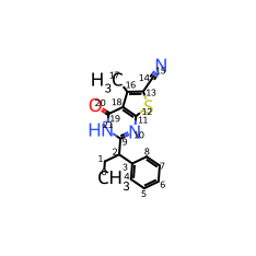 CCC(c1ccccc1)c1nc2sc(C#N)c(C)c2c(=O)[nH]1